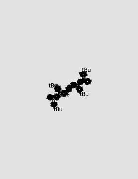 CC(C)(C)c1ccc(N(c2ccc3sc4cc5c(cc4c3c2)sc2ccc(N(c3ccc(C(C)(C)C)cc3)c3ccc4c(c3)c3ccccc3n4-c3ccc(C(C)(C)C)cc3)cc25)c2ccc3c(c2)c2ccccc2n3-c2ccc(C(C)(C)C)cc2)cc1